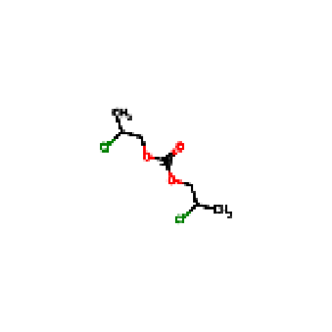 CC(Cl)CO[Se](=O)OCC(C)Cl